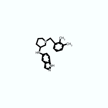 Cc1cccc(CN2CCCC(Nc3ccc4[nH]ncc4c3)C2)c1C